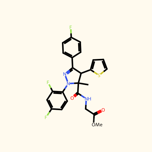 COC(=O)CNC(=O)C1(C)C(c2cccs2)C(c2ccc(F)cc2)=NN1c1ccc(F)cc1F